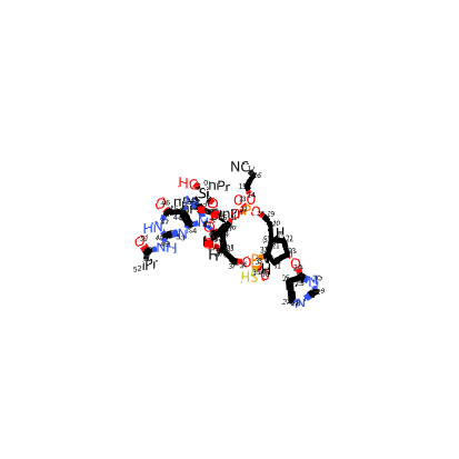 CCC[Si](O)(CCC)O[Si](CCC)(CCC)O[C@H]1[C@H]2OP(=O)(OCCC#N)OCC[C@H]3C[C@@H](Oc4ccncn4)C[C@@H]3P(=O)(S)OC[C@H]1O[C@H]2n1cnc2c(=O)[nH]c(NC(=O)C(C)C)nc21